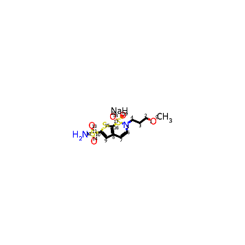 COCCCN1C=Cc2cc(S(N)(=O)=O)sc2S1(=O)=O.[NaH]